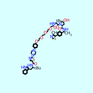 CCCCC(Cc1c[nH]c2ccccc12)NC(=O)c1cnc(N2CCN(c3ccc(OCCOCCOCCOCC(=O)NC(C(=O)N4C[C@H](O)C[C@H]4C(=O)NC(C)c4ccc(-c5scnc5C)cc4)C(C)(C)C)cc3)CC2)s1